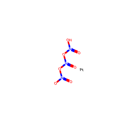 O=[N+]([O-])O[N+](=O)O[N+](=O)O.[Pt]